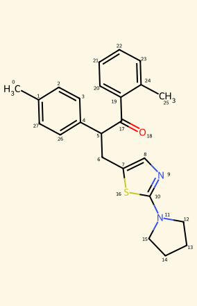 Cc1ccc(C(Cc2cnc(N3CCCC3)s2)C(=O)c2ccccc2C)cc1